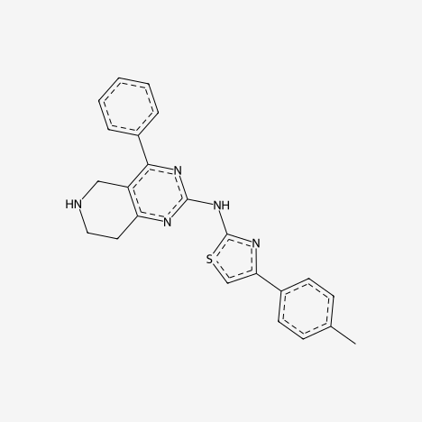 Cc1ccc(-c2csc(Nc3nc4c(c(-c5ccccc5)n3)CNCC4)n2)cc1